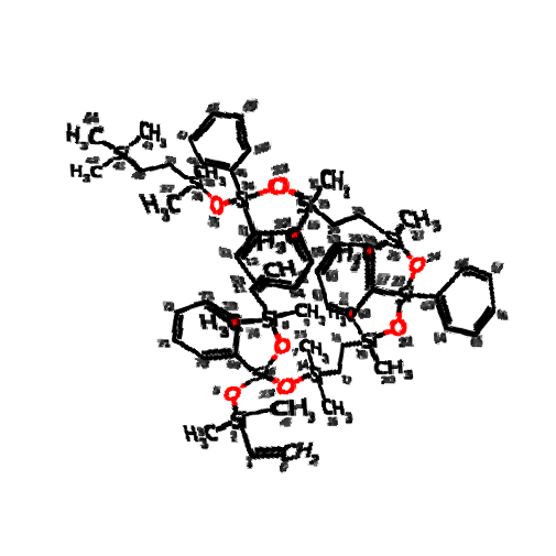 C=C[Si](C)(C)O[Si](O[Si](C)(C)C=C)(O[Si](C)(C)CC[Si](C)(C)O[Si](O[Si](C)(C)CC[Si](C)(C)O[Si](O[Si](C)(C)CC[Si](C)(C)C)(c1ccccc1)c1ccccc1)(c1ccccc1)c1ccccc1)c1ccccc1